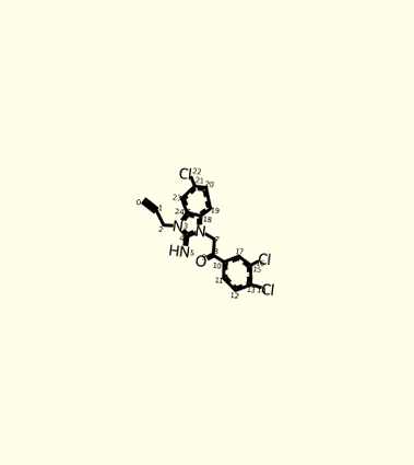 C#CCn1c(=N)n(CC(=O)c2ccc(Cl)c(Cl)c2)c2ccc(Cl)cc21